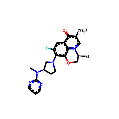 CC[C@H]1COc2c(N3CC[C@@H](N(C)c4ncccn4)C3)c(F)cc3c(=O)c(C(=O)O)cn1c23